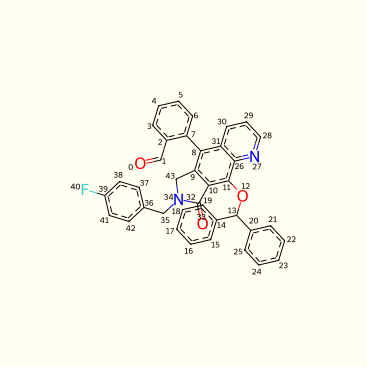 O=Cc1ccccc1-c1c2c(c(OC(c3ccccc3)c3ccccc3)c3ncccc13)C(=O)N(Cc1ccc(F)cc1)C2